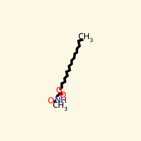 CCCCCCCCCCCCCCCCCCOC(=O)CNC(C)=O